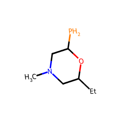 CCC1CN(C)CC(P)O1